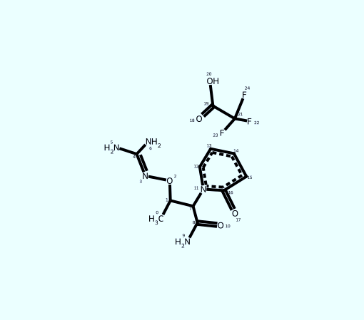 CC(ON=C(N)N)C(C(N)=O)n1ccccc1=O.O=C(O)C(F)(F)F